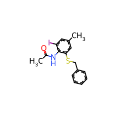 CC(=O)Nc1c(I)cc(C)cc1SCc1ccccc1